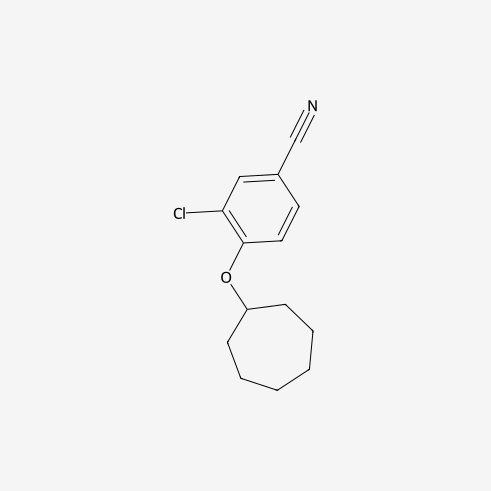 N#Cc1ccc(OC2CCCCCC2)c(Cl)c1